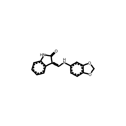 O=C1Nc2ccccc2C1=CNc1ccc2c(c1)OCO2